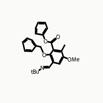 COc1cc(C=NC(C)(C)C)c(OCc2ccccc2)c(C(=O)Oc2ccccc2)c1C